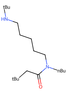 CCCCN(CCCCCNC(C)(C)C)C(=O)CC(C)(C)C